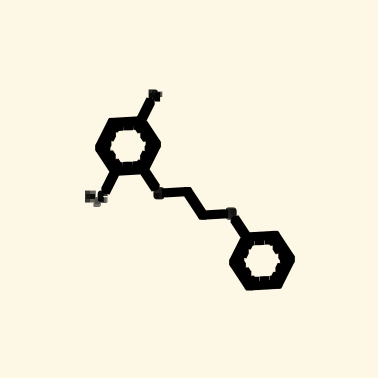 Cc1ccc(Br)cc1OCCOc1ccccc1